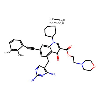 COc1cccc(C#Cc2cc(Cc3cnc(N)nc3N)c3c(=O)c(C(=O)OCCN4CCOCC4)cn(C4CCCCC4)c3c2)c1OC.CS(=O)(=O)O.CS(=O)(=O)O